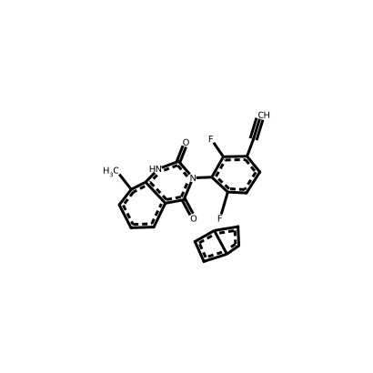 C#Cc1ccc(F)c(-n2c(=O)[nH]c3c(C)cccc3c2=O)c1F.c1cc2ccc1-2